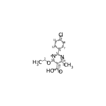 CCOc1nc(-c2ccc(Cl)cc2)nc(C)c1C(=O)O